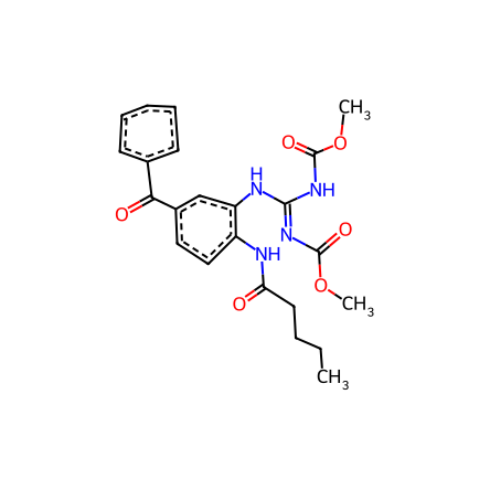 CCCCC(=O)Nc1ccc(C(=O)c2ccccc2)cc1NC(=NC(=O)OC)NC(=O)OC